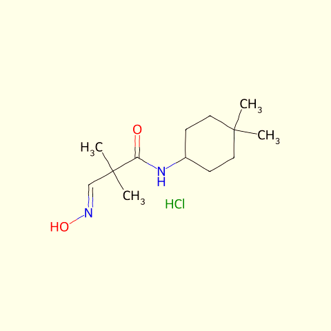 CC1(C)CCC(NC(=O)C(C)(C)C=NO)CC1.Cl